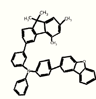 Cc1cc(C)c2c(c1)C(C)(C)c1ccc(-c3cccc(N(c4ccccc4)c4ccc(-c5ccc6oc7ccccc7c6c5)cc4)c3)cc1-2